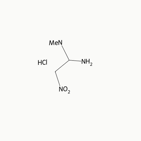 CNC(N)C[N+](=O)[O-].Cl